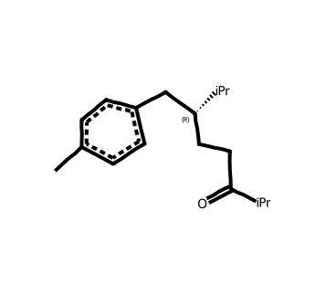 Cc1ccc(C[C@@H](CCC(=O)C(C)C)C(C)C)cc1